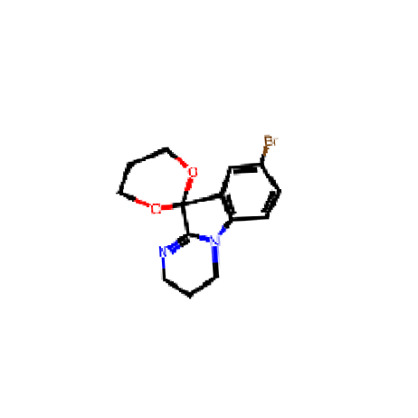 Brc1ccc2c(c1)C1(OCCCO1)C1=NCCCN12